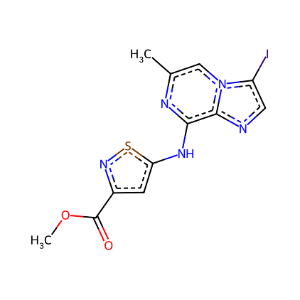 COC(=O)c1cc(Nc2nc(C)cn3c(I)cnc23)sn1